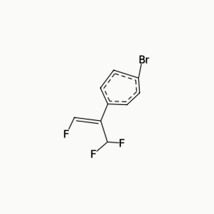 FC=C(c1ccc(Br)cc1)C(F)F